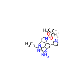 CCCc1nc2c(N)nc3cc(-c4cccnc4)ccc3c2n1CC1CCN(C(=O)OC(C)(C)C)CC1